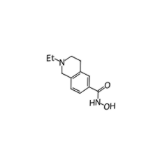 CCN1CCc2cc(C(=O)NO)ccc2C1